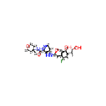 CC(CO)c1cc(F)c(CC(=O)Nc2ccnc(C(=O)NC3(C)CCOCC3)c2)cc1O